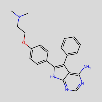 CN(C)CCOc1ccc(-c2[nH]c3ncnc(N)c3c2-c2ccccc2)cc1